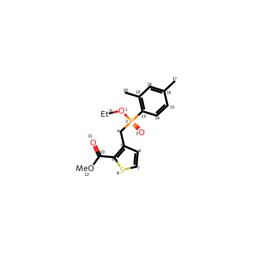 CCOP(=O)(Cc1ccsc1C(=O)OC)c1ccc(C)cc1C